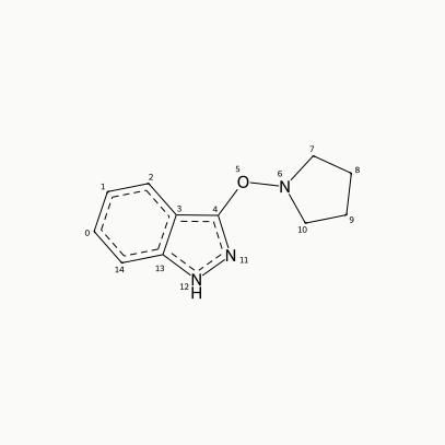 c1ccc2c(ON3CCCC3)n[nH]c2c1